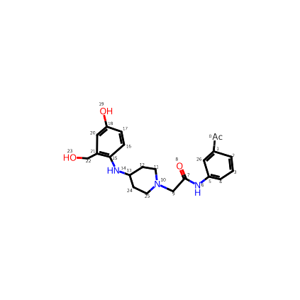 CC(=O)c1cccc(NC(=O)CN2CCC(Nc3ccc(O)cc3CO)CC2)c1